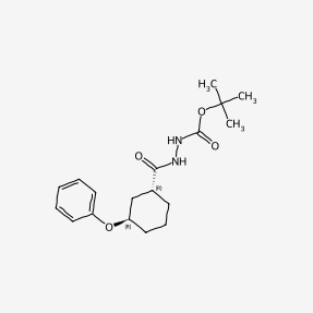 CC(C)(C)OC(=O)NNC(=O)[C@@H]1CCC[C@@H](Oc2ccccc2)C1